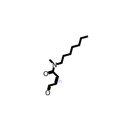 CCCCCCCN(C)C(=O)/C=C\C=O